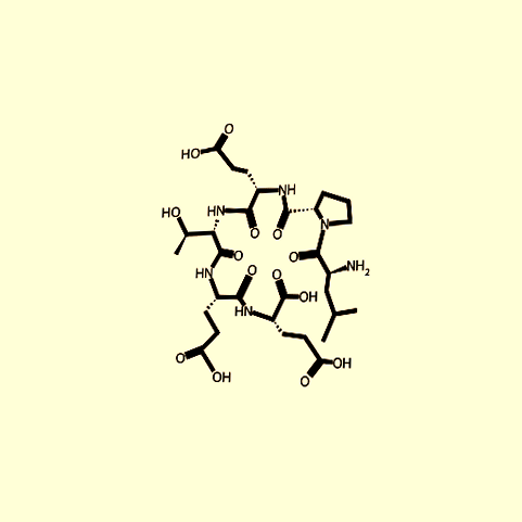 CC(C)C[C@H](N)C(=O)N1CCC[C@H]1C(=O)N[C@@H](CCC(=O)O)C(=O)N[C@H](C(=O)N[C@@H](CCC(=O)O)C(=O)N[C@@H](CCC(=O)O)C(=O)O)[C@@H](C)O